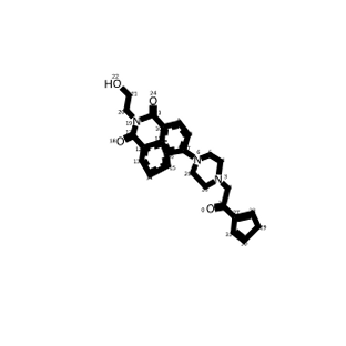 O=C(CN1CCN(c2ccc3c4c(cccc24)C(=O)N(CCO)C3=O)CC1)C1=CCC=C1